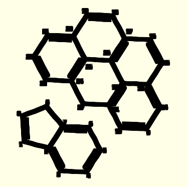 C1=Cc2ccccc2C1.c1cc2c3c(c1)ccc1ccc4cccc(c4c13)C2